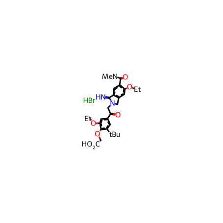 Br.CCOc1cc2c(cc1C(=O)NC)C(=N)N(CC(=O)c1cc(OCC)c(OCC(=O)O)c(C(C)(C)C)c1)C2